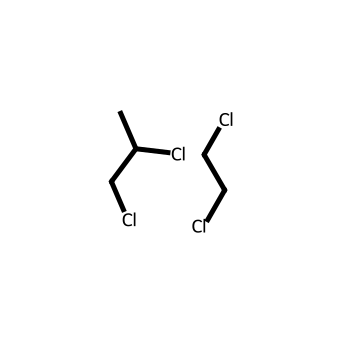 CC(Cl)CCl.ClCCCl